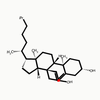 CC(C)CCC[C@@H](C)[C@H]1CC[C@@H]2[C@]1(C)CC[C@H]1[C@]2(C=CO)CC=C2C[C@@H](O)CC[C@@]21C